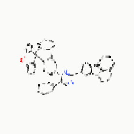 c1ccc(-c2cnc(-c3ccc4c(c3)-c3cccc5cccc-4c35)nc2-c2ccc3c(c2)-c2ccccc2C32c3ccccc3Oc3ccccc32)cc1